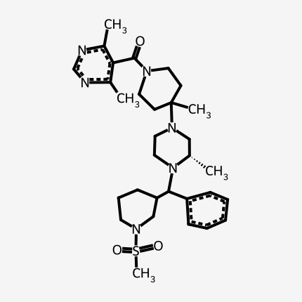 Cc1ncnc(C)c1C(=O)N1CCC(C)(N2CCN(C(c3ccccc3)C3CCCN(S(C)(=O)=O)C3)[C@@H](C)C2)CC1